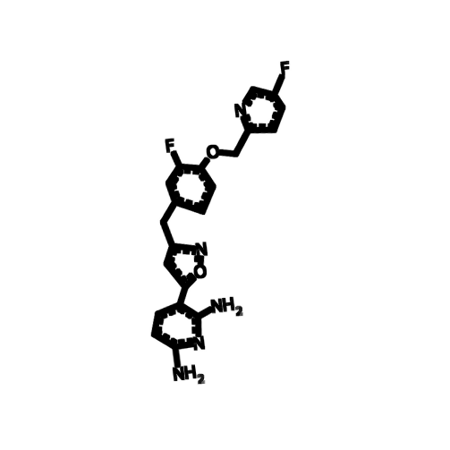 Nc1ccc(-c2cc(Cc3ccc(OCc4ccc(F)cn4)c(F)c3)no2)c(N)n1